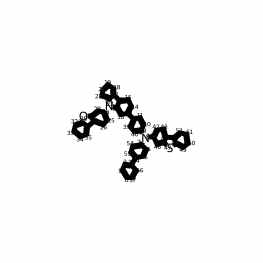 c1ccc(-c2ccc(N(c3ccc(-c4ccc5c6ccccc6n(-c6ccc7c(c6)oc6ccccc67)c5c4)cc3)c3ccc4c(c3)sc3ccccc34)cc2)cc1